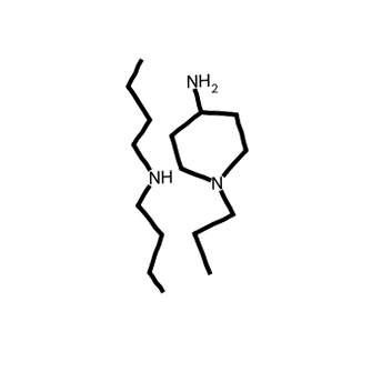 CCCCNCCCC.CCCN1CCC(N)CC1